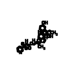 CC[C@@H]1C2C[C@H](O)CCC2(C)[C@H]2CCC3(C)[C@@H]([C@H](C)CCOC(=O)NS(=O)(=O)c4cccnc4)CC[C@H]3C2[C@@H]1O